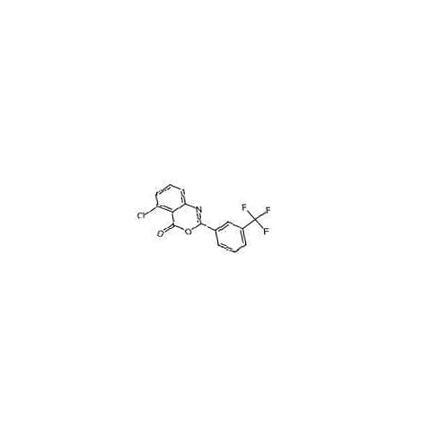 O=c1oc(-c2cccc(C(F)(F)F)c2)nc2cccc(Cl)c12